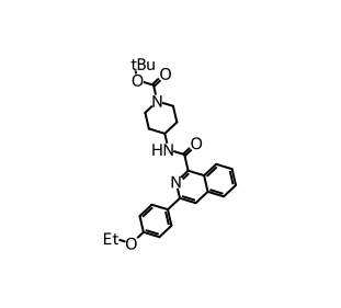 CCOc1ccc(-c2cc3ccccc3c(C(=O)NC3CCN(C(=O)OC(C)(C)C)CC3)n2)cc1